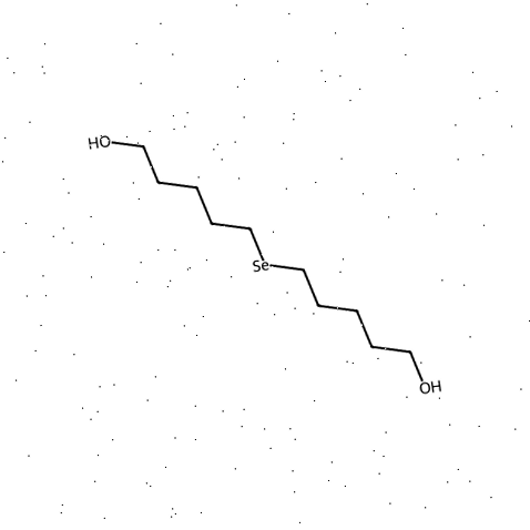 OCCCCC[Se]CCCCCO